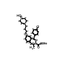 CNC(=O)N1N=C(c2ccc(Cl)cc2)c2cc(OCCCN3CCN(O)CC3)ccc2CC1C